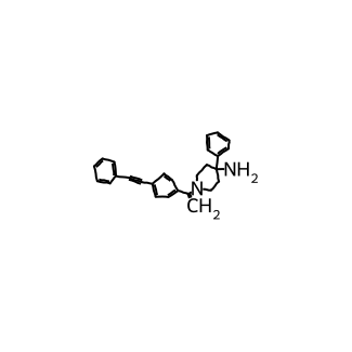 C=C(c1ccc(C#Cc2ccccc2)cc1)N1CCC(N)(c2ccccc2)CC1